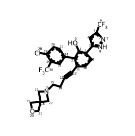 Oc1c(-c2cc(C(F)(F)F)n[nH]2)ccc(C#CCCN2CC3(COC3)C2)c1-c1ccc(Cl)c(C(F)(F)F)c1